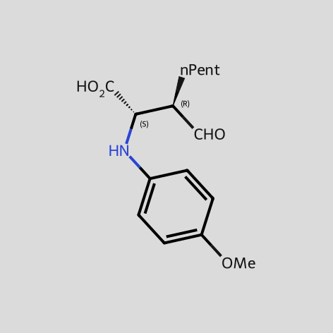 CCCCC[C@@H](C=O)[C@H](Nc1ccc(OC)cc1)C(=O)O